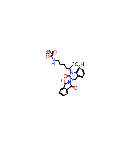 CC(C)(C)OC(=O)NCCCC[C@H](NC(=O)N(Cc1ccccc1)N1C(=O)c2ccccc2C1=O)C(=O)O